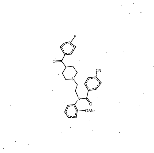 COc1ccccc1N(CCN1CCC(C(=O)c2ccc(F)cc2)CC1)C(=O)c1ccc(C#N)cc1